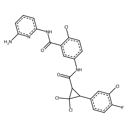 Nc1cccc(NC(=O)c2cc(NC(=O)C3C(c4ccc(F)c(Cl)c4)C3(Cl)Cl)ccc2Cl)n1